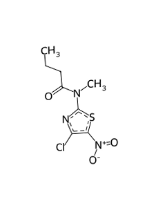 CCCC(=O)N(C)c1nc(Cl)c([N+](=O)[O-])s1